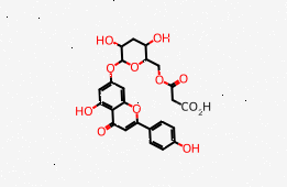 O=C(O)CC(=O)OCC1OC(Oc2cc(O)c3c(=O)cc(-c4ccc(O)cc4)oc3c2)C(O)CC1O